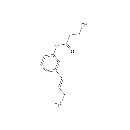 CC/C=C/c1cccc(OC(=O)CCC)c1